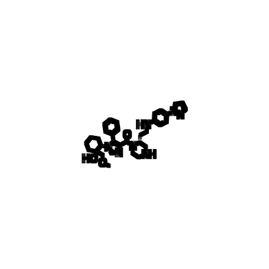 COC[C@]1(O)CCCC[C@H]1n1cnc(C(=O)N2CCNC[C@H]2CCNc2ccc(-n3cccn3)cc2)c1-c1ccccc1